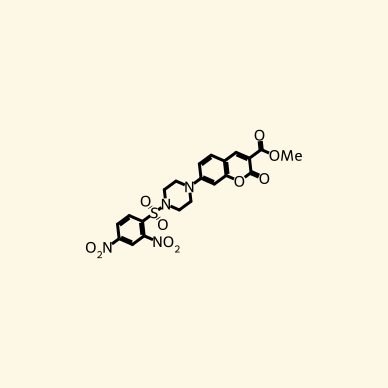 COC(=O)c1cc2ccc(N3CCN(S(=O)(=O)c4ccc([N+](=O)[O-])cc4[N+](=O)[O-])CC3)cc2oc1=O